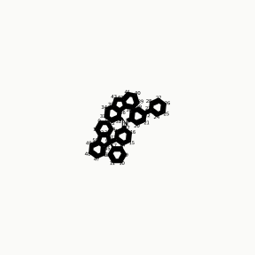 C1=CC2=C(CC1)[C@](c1ccccc1)(c1cccc(N(c3ccc(-c4ccccc4)cc3)c3cccc4c3-c3ccccc3C4)c1)c1ccccc12